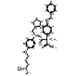 CCN(CC)CCCOc1ccc(N(CC2CCCC2)OC(=O)[C@](N)(C(N)=O)c2ccc(OCc3ccccc3)cc2)cc1